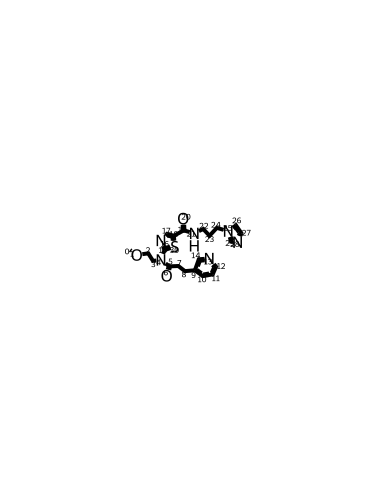 COCCN(C(=O)CCc1cccnc1)c1ncc(C(=O)NCCCn2ccnc2)s1